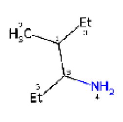 [CH2]CC(C)C(N)CC